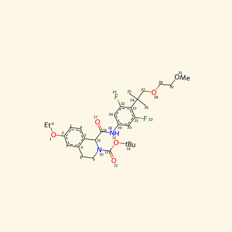 CCOc1ccc2c(c1)CCN(C(=O)OC(C)(C)C)C2C(=O)Nc1cc(F)c(C(C)(C)COCCOC)c(F)c1